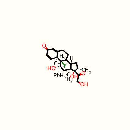 C[C@@H]1C[C@H]2[C@@H]3CCC4=CC(=O)C=C[C@]4(C)[C@@]3(F)[C@@H](O)C[C@]2(C)[C@@]1(O)C(=O)CO.[PbH2]